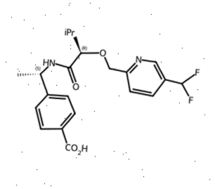 CC(C)[C@@H](OCc1ccc(C(F)F)cn1)C(=O)N[C@@H](C)c1ccc(C(=O)O)cc1